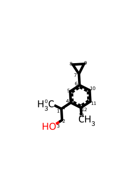 C[C](CO)c1cc(C2CC2)ccc1C